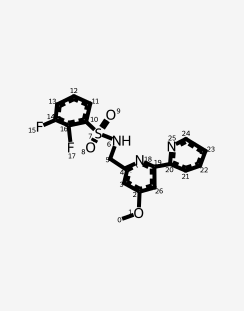 COc1cc(CNS(=O)(=O)c2cccc(F)c2F)nc(-c2ccccn2)c1